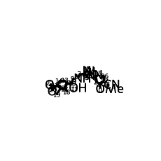 COc1cc(-n2cc(CNC[C@H](O)c3ccc4c(c3C)COC4=O)nn2)ncc1C#N